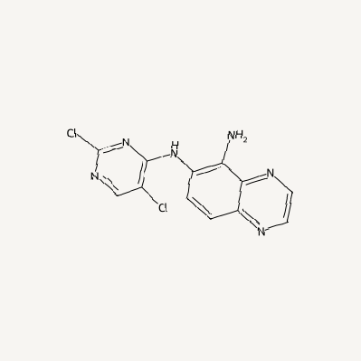 Nc1c(Nc2nc(Cl)ncc2Cl)ccc2nccnc12